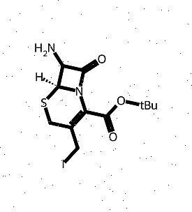 CC(C)(C)OC(=O)C1=C(CI)CS[C@H]2C(N)C(=O)N12